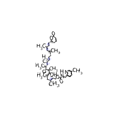 CC(=C/[C@H](C)C/C=C/C(C)=C/[C@@H](C)C(=O)[C@@H](C)[C@H](O)[C@@H](C)C/C(C)=C/COC(=O)NCc1ccc(C)cn1)/C=C/[C@H]1CC=CC(=O)O1